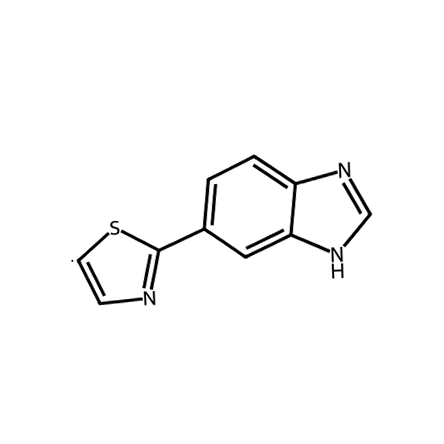 [c]1cnc(-c2ccc3nc[nH]c3c2)s1